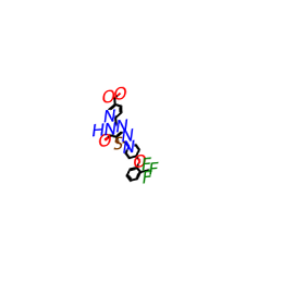 COC(=O)c1ccc(-c2nc3nc(N4CCC(Oc5ccccc5C(F)(F)F)CC4)sc3c(=O)[nH]2)nc1